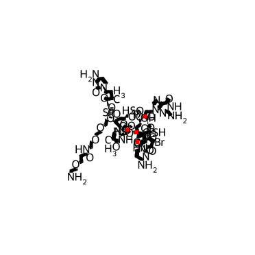 Cc1cn([C@H]2CC(OP(=S)(OCCOCCOCCNC(=O)CCOCCN)OC[C@H]3O[C@@H](n4ccc(N)nc4=O)CC3C)[C@@H](COP(=O)(S)OC3C[C@H](n4cnc5c(=O)[nH]c(N)nc54)O[C@@H]3COP(=O)(S)OC3C[C@H](n4ccc(N)nc4=O)O[C@@H]3COP(=O)(S)OC3C[C@H](n4cc(Br)c(=O)[nH]c4=O)O[C@@H]3CO)O2)c(=O)[nH]c1=O